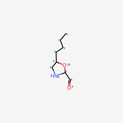 CCCCC1CNC([C]=O)O1